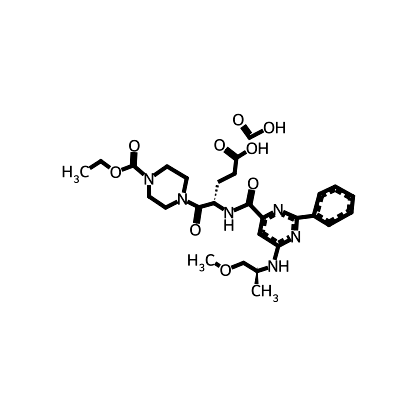 CCOC(=O)N1CCN(C(=O)[C@H](CCC(=O)O)NC(=O)c2cc(N[C@@H](C)COC)nc(-c3ccccc3)n2)CC1.O=CO